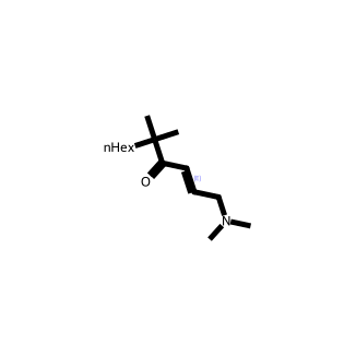 CCCCCCC(C)(C)C(=O)/C=C/CN(C)C